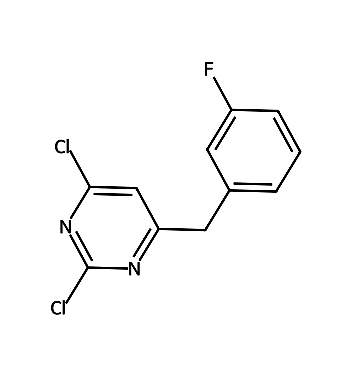 Fc1cccc(Cc2cc(Cl)nc(Cl)n2)c1